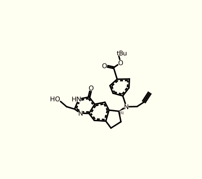 C#CCN(c1ccc(C(=O)OC(C)(C)C)cc1)[C@H]1CCc2cc3nc(CO)[nH]c(=O)c3cc21